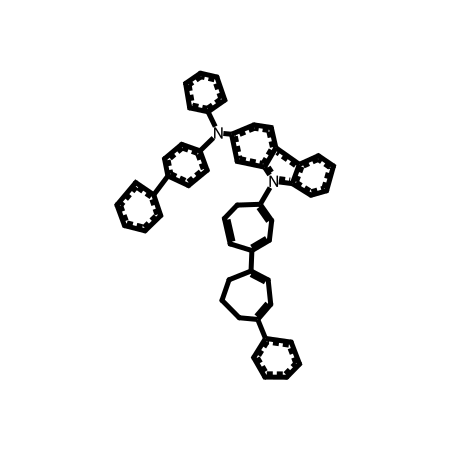 C1=CC(C2=CC=C(c3ccccc3)CCC2)=CC=C(n2c3ccccc3c3ccc(N(c4ccccc4)c4ccc(-c5ccccc5)cc4)cc32)C1